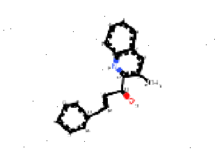 Cc1cc2ccccc2nc1C(=O)C=Cc1ccccc1